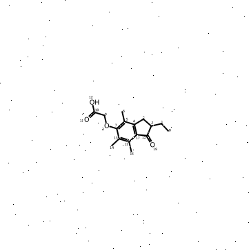 CCC1Cc2c(C)c(OCC(=O)O)c(C)c(C)c2C1=O